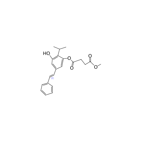 COC(=O)CCC(=O)Oc1cc(/C=C/c2ccccc2)cc(O)c1C(C)C